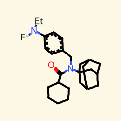 CCN(CC)c1ccc(CN(C(=O)C2CCCCC2)C23CC4CC(CC(C4)C2)C3)cc1